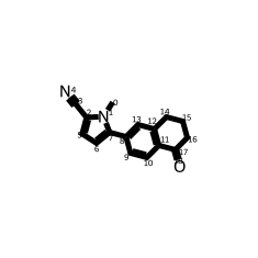 Cn1c(C#N)ccc1-c1ccc2c(c1)CCCC2=O